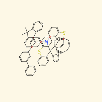 CC1(C)c2ccccc2-c2c(C3=C4Sc5ccccc5C5(c6ccccc6-c6ccccc65)C4(N(c4cccc(-c5cccc(-c6ccccc6)c5)c4)c4cccc5sc6c(c45)CC#CC/C=C\6)CCC3)cccc21